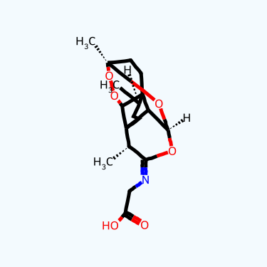 C[C@@H]1CCC23C4OO[C@@]5(C)CCC41C2[C@H](O/C(=N/CC(=O)O)[C@@H]3C)O5